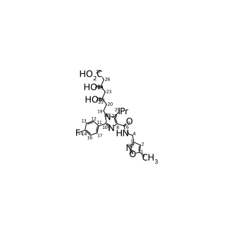 Cc1cc(CNC(=O)c2nc(-c3ccc(F)cc3)n(CC[C@@H](O)C[C@@H](O)CC(=O)O)c2C(C)C)no1